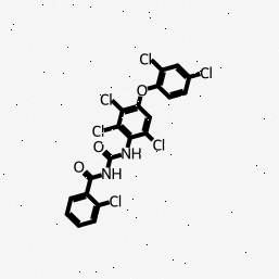 O=C(NC(=O)c1ccccc1Cl)Nc1c(Cl)cc(Oc2ccc(Cl)cc2Cl)c(Cl)c1Cl